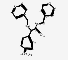 CCOC(=O)c1ccc(C(NCc2ccncc2)C(=O)NCc2ccncc2)cc1